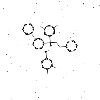 O=C(NC(CCc1ccccc1)(c1cccc(-c2ccccc2)c1)c1cc(F)cc(C(F)(F)F)c1)c1ccc(F)c(C(F)(F)F)c1